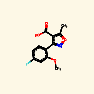 COc1cc(F)ccc1-c1noc(C)c1C(=O)O